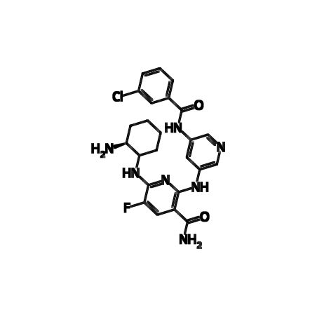 NC(=O)c1cc(F)c(NC2CCCC[C@@H]2N)nc1Nc1cncc(NC(=O)c2cccc(Cl)c2)c1